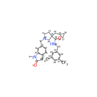 CN1C(=O)Cc2ccc(CN3CCC(CC4CC4)(C(=O)NCc4cc(C(F)(F)F)cc(C(F)(F)F)c4)C3)cc21